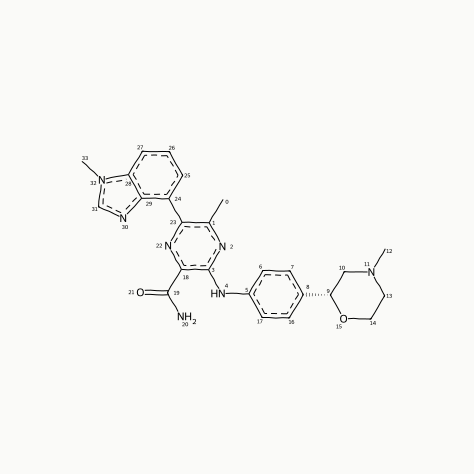 Cc1nc(Nc2ccc([C@@H]3CN(C)CCO3)cc2)c(C(N)=O)nc1-c1cccc2c1ncn2C